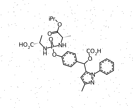 Cc1cc(C(OC(=O)O)c2ccc(OP(=O)(N[C@@H](C)C(=O)O)N[C@@H](C)C(=O)OC(C)C)cc2)n(-c2ccccc2)n1